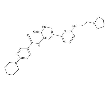 O=C(Nc1cc(-c2cccc(NCCN3CCCC3)n2)c[nH]c1=O)c1ccc(N2CCCCC2)cc1